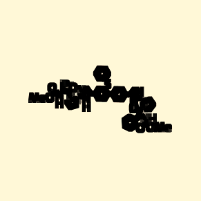 COC(=O)N[C@H](C(=O)N1CCC[C@H]1c1ncc(-c2ccc(-c3ccc(-c4cnc([C@@H]5CCCN5C(=O)[C@H](NC(=O)OC)c5ccccc5)[nH]4)cc3)c(Sc3ccccc3)c2)[nH]1)C(C)C